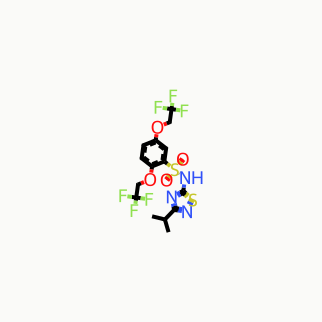 CC(C)c1nsc(NS(=O)(=O)c2cc(OCC(F)(F)F)ccc2OCC(F)(F)F)n1